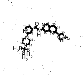 BC(B)(B)N1CCN(c2cc(C(=O)Nc3cc4nc(-c5cn(C)nn5)ccc4cn3)ccn2)CC1